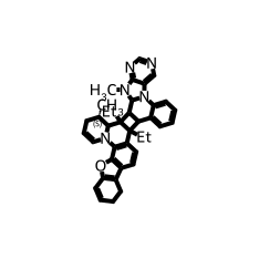 CCC12c3ccc4c5c(oc4c3N3C=CC[C@H](C)C3C1(CC)C1C3N(C)c4ncncc4N3c3ccccc3C12)C=CCC5